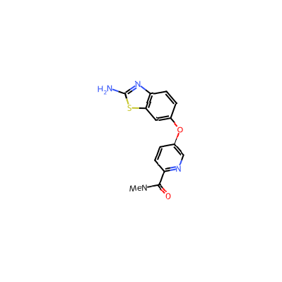 CNC(=O)c1ccc(Oc2ccc3nc(N)sc3c2)cn1